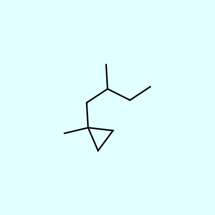 CCC(C)CC1(C)CC1